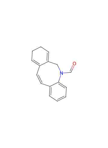 O=CN1CC2=CCCC=C2/C=C\c2ccccc21